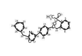 CS(=O)(=O)c1ccccc1COc1ccc(-c2coc(Cc3ccccc3)n2)cc1